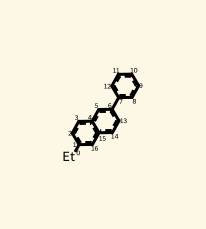 CCc1ccc2cc(-c3ccccc3)ccc2c1